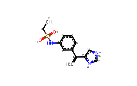 C=C(c1cccc(NS(=O)(=O)CC)c1)c1c[nH]cn1